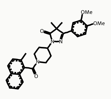 COc1ccc(C2=NN(C3CCN(C(=O)c4c(C)ccc5ccccc45)CC3)C(=O)C2(C)C)cc1OC